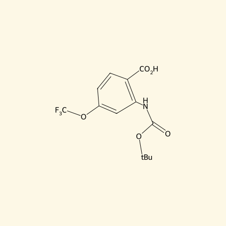 CC(C)(C)OC(=O)Nc1cc(OC(F)(F)F)ccc1C(=O)O